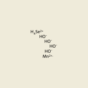 [Mn+2].[OH-].[OH-].[OH-].[OH-].[SeH4+2]